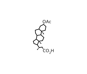 CC(=O)O[C@@H]1CC[C@@]2(C)C(CCC3C2CC[C@@]2(C)C3CCC2[C@H](C)CC(=O)O)C1